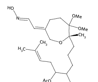 COC1(OC)CC/C(=C\C=N\O)CO[C@@]1(C)CCCC(C)C(CC=C(C)C)OC(C)=O